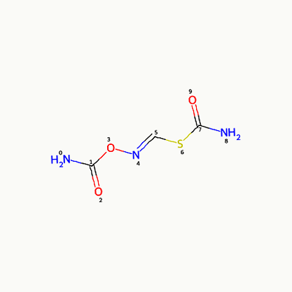 NC(=O)ON=CSC(N)=O